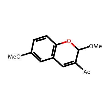 COc1ccc2c(c1)C=C(C(C)=O)C(OC)O2